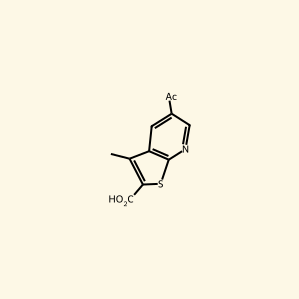 CC(=O)c1cnc2sc(C(=O)O)c(C)c2c1